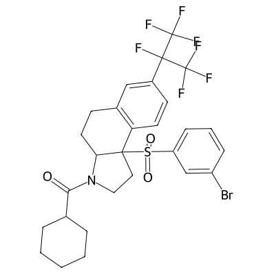 O=C(C1CCCCC1)N1CCC2(S(=O)(=O)c3cccc(Br)c3)c3ccc(C(F)(C(F)(F)F)C(F)(F)F)cc3CCC12